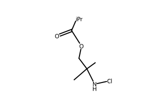 CC(C)C(=O)OCC(C)(C)NCl